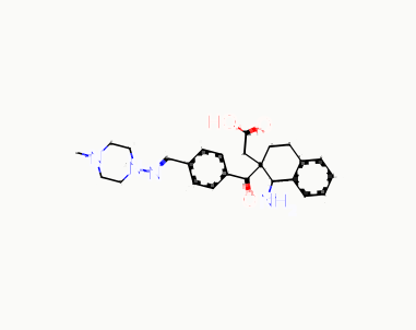 CN1CCN(N=Cc2ccc(C(=O)C3(CC(=O)O)CCc4ccccc4C3N)cc2)CC1